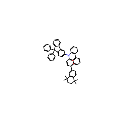 CC1(C)CCC(C)(C)c2cc(-c3ccc(N(C4=C(c5ccccc5)CCC=C4)c4ccc5c(c4)-c4ccccc4C5(c4ccccc4)c4ccccc4)cc3)ccc21